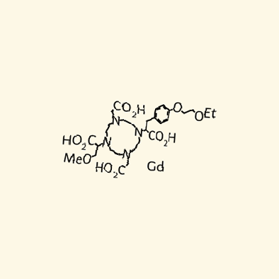 CCOCCOc1ccc(CC(C(=O)O)N2CCN(CC(=O)O)CCN(C(COC)C(=O)O)CCN(CC(=O)O)CC2)cc1.[Gd]